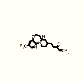 C=CC(=O)CCC1CCN2c3ncc(C(F)(F)F)cc3OCC[C@H]2C1